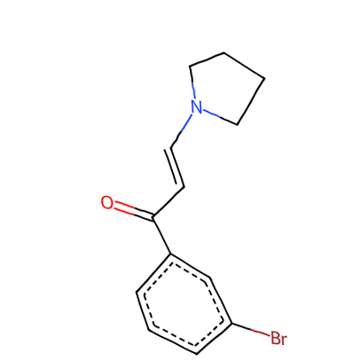 O=C(C=CN1CCCC1)c1cccc(Br)c1